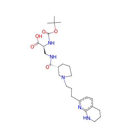 CC(C)(C)OC(=O)N[C@@H](CNC(=O)[C@@H]1CCCN(CCCc2ccc3c(n2)NCCC3)C1)C(=O)O